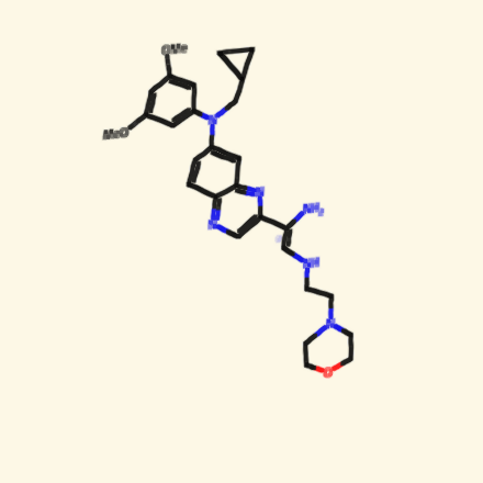 COc1cc(OC)cc(N(CC2CC2)c2ccc3ncc(/C(N)=C/NCCN4CCOCC4)nc3c2)c1